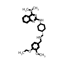 CCOc1ccc(CNC[C@H]2CC[C@@H](Nc3nc(N(C)C)c4ccccc4n3)CC2)cc1OC